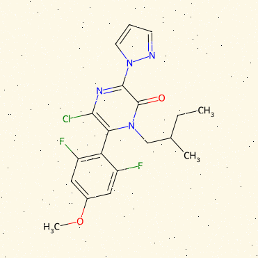 CCC(C)Cn1c(-c2c(F)cc(OC)cc2F)c(Cl)nc(-n2cccn2)c1=O